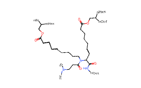 CCCCCCCCNC(=O)C(CCCCCCC(=O)OCC(CCCCCC)CCCCCCCC)N(CCCCCCCCC(=O)OCC(CCCC)CCCCCC)C(=O)CCN(CC)CC